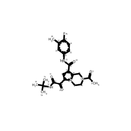 CC(=O)N1CCn2c(C(=O)C(=O)NC(C)(C)C)cc(C(=O)Nc3ccc(F)c(C)c3)c2C1